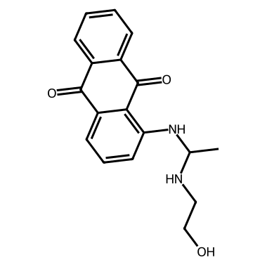 CC(NCCO)Nc1cccc2c1C(=O)c1ccccc1C2=O